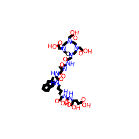 O=C(O)CCC(NC(=O)N[C@@H](CCCCNC(=O)[C@H](Cc1ccc2ccccc2c1)NC(=O)c1coc(NC(=O)CN2CCN(CC(=O)O)CCN(CC(=O)O)CCN(CC(=O)O)CC2)n1)C(=O)O)C(=O)O